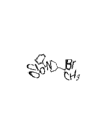 CC(Br)C1CCN(C(OC(=O)Cl)c2ccccc2)CC1